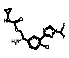 N[C@H](COC(=O)NC1CC1)c1ccc(Cl)c(-c2ncn(C(F)F)n2)c1